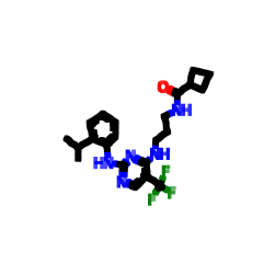 CC(C)c1ccccc1Nc1ncc(C(F)(F)F)c(NCCCNC(=O)C2CCC2)n1